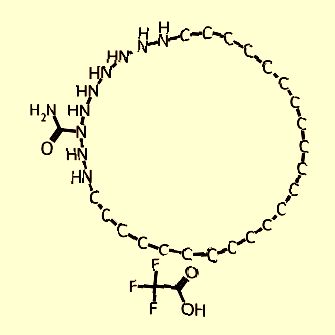 NC(=O)N1NNCCCCCCCCCCCCCCCCCCCCCCNNNNNN1.O=C(O)C(F)(F)F